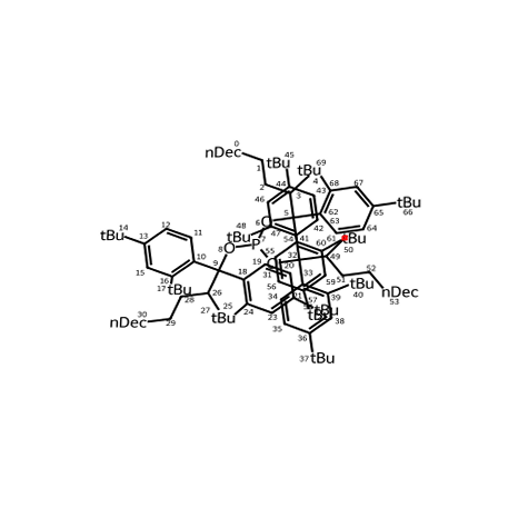 CCCCCCCCCCCCC(C)C(OP(OC(c1ccc(C(C)(C)C)cc1C(C)(C)C)(c1ccc(C(C)(C)C)cc1C(C)(C)C)C(C)CCCCCCCCCCCC)OC(c1ccc(C(C)(C)C)cc1C(C)(C)C)(c1ccc(C(C)(C)C)cc1C(C)(C)C)C(C)CCCCCCCCCCCC)(c1ccc(C(C)(C)C)cc1C(C)(C)C)c1ccc(C(C)(C)C)cc1C(C)(C)C